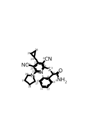 N#Cc1c(SC(C(N)=O)c2ccccc2)nc(N2CCCC2)c(C#N)c1C1CC1